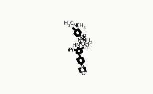 CC(C)c1cc(-c2ccc(N3CCOCC3)cc2)cc(C(C)C)c1NC(O)N=S(N)(=O)c1ccc(CN(C)C)cc1